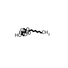 CCCCCCCC(=O)O[C@@H]1CO[C@H]2[C@@H]1OC[C@@H]2O